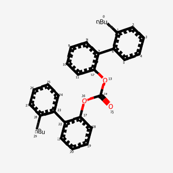 CCCCc1ccccc1-c1ccccc1OC(=O)Oc1ccccc1-c1ccccc1CCCC